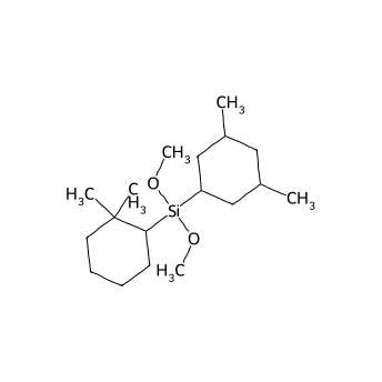 CO[Si](OC)(C1CC(C)CC(C)C1)C1CCCCC1(C)C